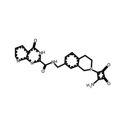 Nc1c(N2CCc3ccc(CNC(=O)c4nc5ncccc5c(=O)[nH]4)cc3C2)c(=O)c1=O